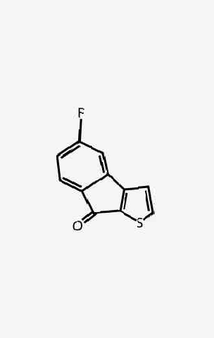 O=C1c2ccc(F)cc2-c2ccsc21